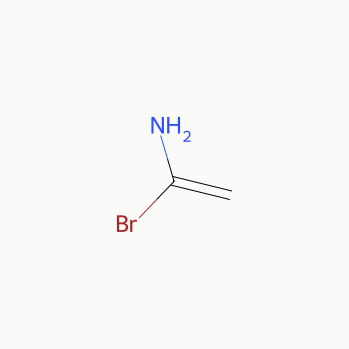 C=C(N)Br